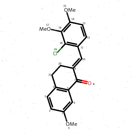 COc1ccc2c(c1)C(=O)C(=Cc1ccc(OC)c(OC)c1Cl)CC2